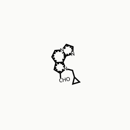 O=Cc1cc2ccn3ccnc3c2n1CC1CC1